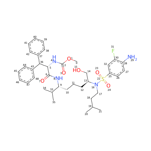 COC(=O)N[C@H](C(=O)N[C@H](CCC[C@@H](CO)N(CCC(C)C)S(=O)(=O)c1ccc(N)c(F)c1)C(C)C)C(c1ccccc1)c1ccccc1